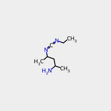 CCN=C=NC(C)CC(C)N